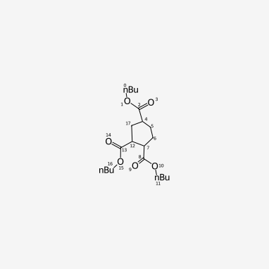 CCCCOC(=O)C1CCC(C(=O)OCCCC)C(C(=O)OCCCC)C1